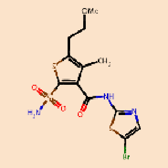 COCCc1sc(S(N)(=O)=O)c(C(=O)Nc2ncc(Br)s2)c1C